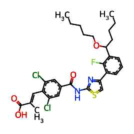 CCCCCOC(CCCC)c1cccc(-c2csc(NC(=O)c3cc(Cl)c(C=C(C)C(=O)O)c(Cl)c3)n2)c1F